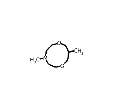 CC1COCCN(C)CCOC1